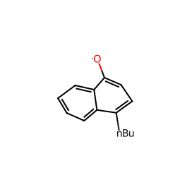 CCCCc1ccc([O])c2ccccc12